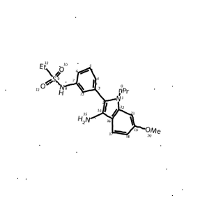 CCCn1c(-c2cccc(NS(=O)(=O)CC)c2)c(N)c2ccc(OC)cc21